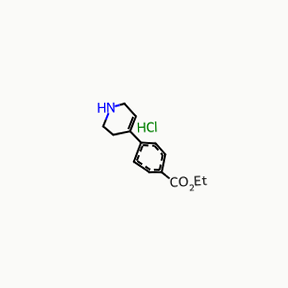 CCOC(=O)c1ccc(C2=CCNCC2)cc1.Cl